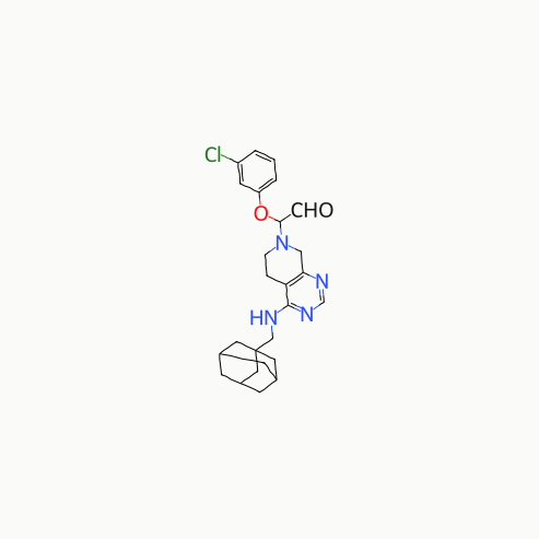 O=CC(Oc1cccc(Cl)c1)N1CCc2c(ncnc2NCC23CC4CC(CC(C4)C2)C3)C1